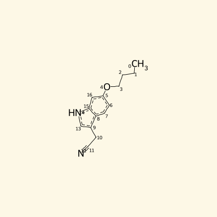 CCCCOc1ccc2c(CC#N)c[nH]c2c1